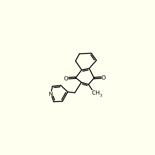 CC1=C(Cc2ccncc2)C(=O)C2=C(C=CCC2)C1=O